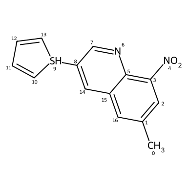 Cc1cc([N+](=O)[O-])c2ncc([SH]3C=CC=C3)cc2c1